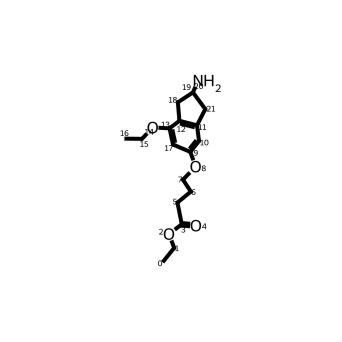 CCOC(=O)CCCOc1cc2c(c(OCC)c1)CC(N)C2